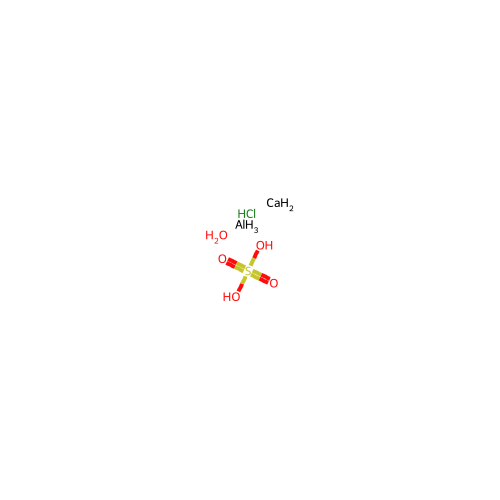 Cl.O.O=S(=O)(O)O.[AlH3].[CaH2]